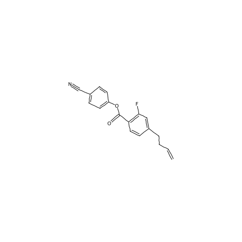 C=CCCc1ccc(C(=O)Oc2ccc(C#N)cc2)c(F)c1